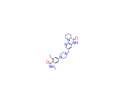 CCc1cc(N2CCN(Cc3cnc4c(c3)NC(=O)C3CCCCN43)CC2)ccc1C(N)=O